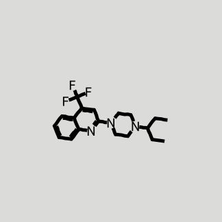 CCC(CC)N1CCN(c2cc(C(F)(F)F)c3ccccc3n2)CC1